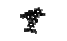 CS(=O)(=O)O.N=C(N)c1ccc(NC(=O)c2cc3c(O)cccc3cc2-c2ccccc2C(=O)O)cc1